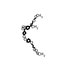 C=C=COOCCCCOc1ccc(OCOc2ccc(C(OO)c3ccc(C(=C)OCCOCCOC)cc3)cc2)cc1